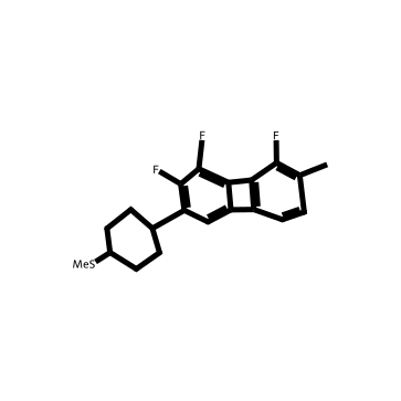 CSC1CCC(c2cc3c(c(F)c2F)-c2c-3ccc(C)c2F)CC1